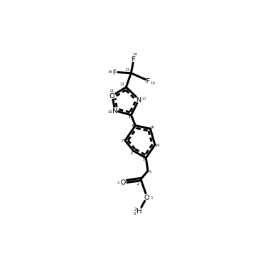 [2H]OC(=O)Cc1ccc(-c2noc(C(F)(F)F)n2)cc1